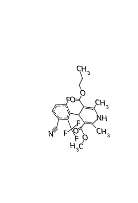 CCCOC(=O)C1=C(C)NC(C)=C(C(=O)OC)C1c1c(F)ccc(C#N)c1C(F)(F)F